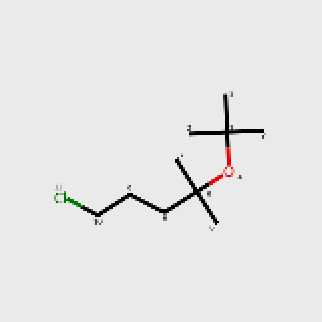 CC(C)(C)OC(C)(C)CCCCl